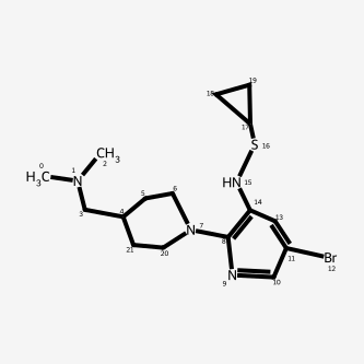 CN(C)CC1CCN(c2ncc(Br)cc2NSC2CC2)CC1